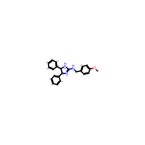 COc1ccc(CNC2=NC(c3ccccc3)C(c3ccccc3)N2)cc1